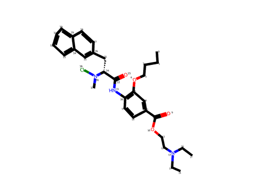 CCCCOc1cc(C(=O)OCCN(CC)CC)ccc1NC(=O)[C@@H](Cc1ccc2ccccc2c1)N(C)Cl